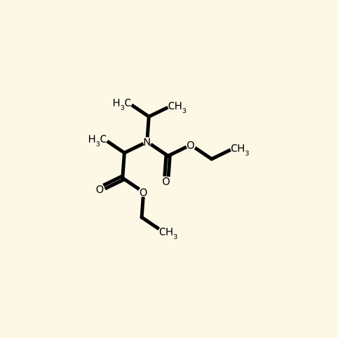 CCOC(=O)C(C)N(C(=O)OCC)C(C)C